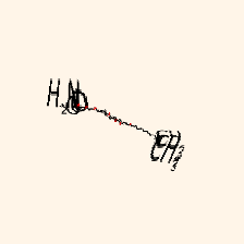 CC(C)CCCCCCCCCCCCCCCCCCCCCCCCCOC(N)=O